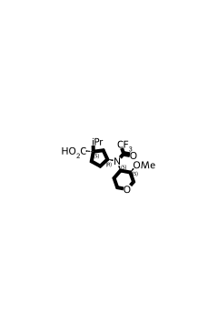 CO[C@@H]1COCC[C@@H]1N(C(=O)C(F)(F)F)[C@@H]1CC[C@@](C(=O)O)(C(C)C)C1